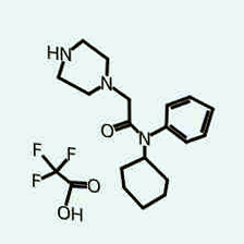 O=C(CN1CCNCC1)N(c1ccccc1)C1CCCCC1.O=C(O)C(F)(F)F